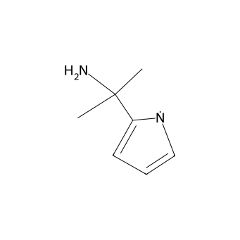 CC(C)(N)C1=CC=C[N]1